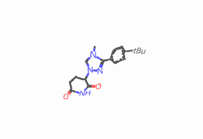 CN1CN(C2CCC(=O)NC2=O)N=C1c1ccc(C(C)(C)C)cc1